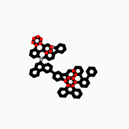 c1ccc(-c2ccccc2-c2c(-c3ccccc3)cccc2N(c2ccc3c(c2)oc2ccccc23)c2cc3ccccc3c3cc(-c4ccc5sc6c(N(c7cccc(-c8ccccc8)c7-c7ccccc7-c7ccccc7)c7cc8ccccc8c8ccccc78)cccc6c5c4)ccc23)cc1